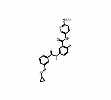 CC(=O)Nc1ccc(NC(=O)c2cc(NC(=O)c3cccc(COC4CC4)c3)ccc2C)cn1